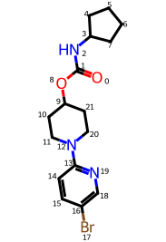 O=C(NC1CCCC1)OC1CCN(c2ccc(Br)cn2)CC1